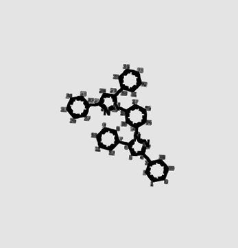 c1ccc(-c2cc(-c3ccccc3)n(-c3cccc(-n4nc(-c5ccccc5)cc4-c4ccccc4)c3)n2)cc1